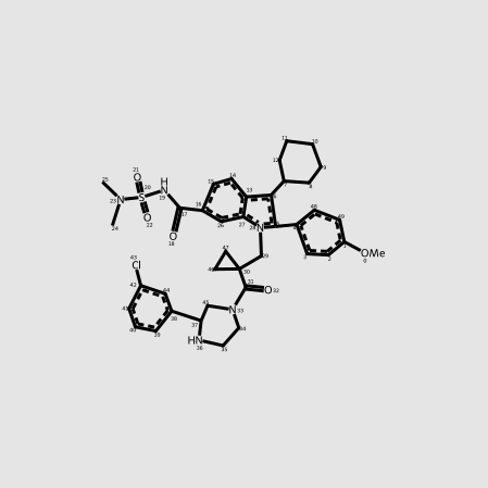 COc1ccc(-c2c(C3CCCCC3)c3ccc(C(=O)NS(=O)(=O)N(C)C)cc3n2CC2(C(=O)N3CCNC(c4cccc(Cl)c4)C3)CC2)cc1